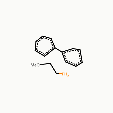 COCCP.c1ccc(-c2ccccc2)cc1